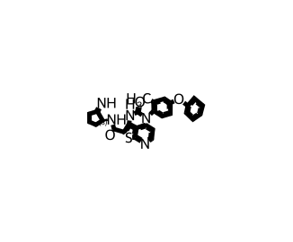 Cc1cc(Oc2ccccc2)ccc1N1C(=O)Nc2c(C(=O)N[C@H]3CCCC3=N)sc3nccc1c23